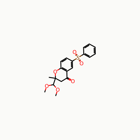 COC(OC)C1(C)CC(=O)c2cc(S(=O)(=O)c3ccccc3)ccc2O1